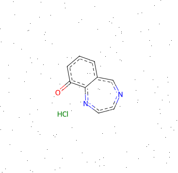 Cl.O=c1cccc2cnccnc1-2